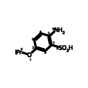 CC(C)Oc1ccc(N)c(S(=O)(=O)O)c1